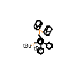 CC(C)(C)P(C[C]12[C]3(CP(C4C5CC6CC(C5)CC4C6)C4C5CC6CC(C5)CC4C6)[CH]4[C]5(c6ccccc6)[C]1(c1ccccc1)[Fe]43521678[CH]2[CH]1[CH]6[CH]7[CH]28)C(C)(C)C